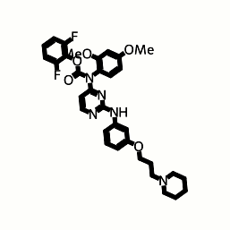 COc1ccc(N(C(=O)Oc2c(F)cccc2F)c2ccnc(Nc3cccc(OCCCN4CCCCC4)c3)n2)c(OC)c1